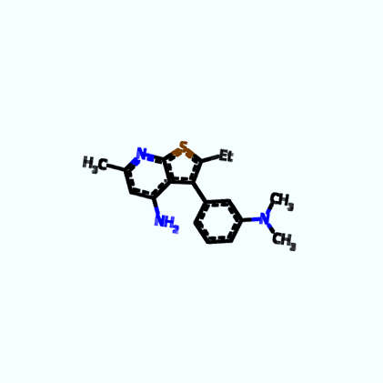 CCc1sc2nc(C)cc(N)c2c1-c1cccc(N(C)C)c1